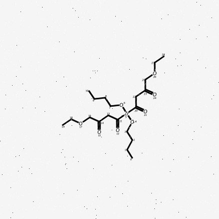 CCCC[O][Zr]([O]CCCC)([C](=O)CC(=O)COCC)[C](=O)CC(=O)COCC